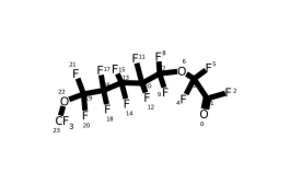 O=C(F)C(F)(F)OC(F)(F)C(F)(F)C(F)(F)C(F)(F)C(F)(F)OC(F)(F)F